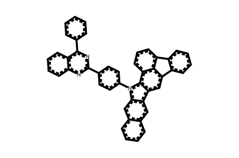 c1ccc(-c2nc(-c3ccc(-n4c5cc6ccccc6cc5c5cc6c7c(cccc7c54)-c4ccccc4-6)cc3)nc3ccccc23)cc1